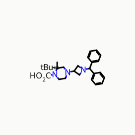 CC(C)(C)[C@@]1(C)CN(C2CN(C(c3ccccc3)c3ccccc3)C2)CCN1C(=O)O